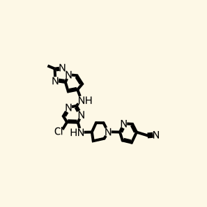 Cc1nc2cc(Nc3ncc(Cl)c(NC4CCN(c5ccc(C#N)cn5)CC4)n3)ccn2n1